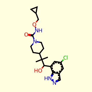 CC(C)(C1CCN(C(=O)NOCC2CC2)CC1)C(O)c1cc(Cl)cc2cn[nH]c12